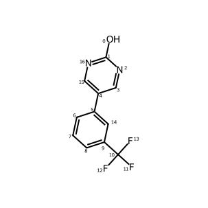 Oc1ncc(-c2cccc(C(F)(F)F)c2)cn1